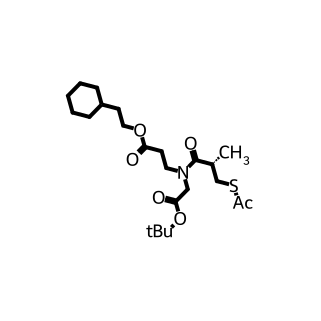 CC(=O)SC[C@@H](C)C(=O)N(CCC(=O)OCCC1CCCCC1)CC(=O)OC(C)(C)C